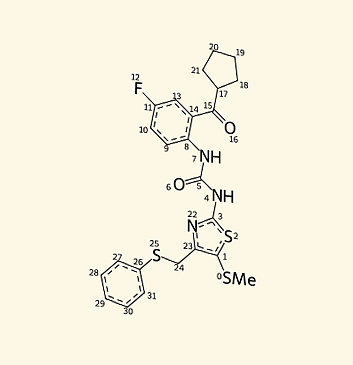 CSc1sc(NC(=O)Nc2ccc(F)cc2C(=O)C2CCCC2)nc1CSc1ccccc1